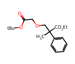 CCOC(=O)C(C)(COCC(=O)OC(C)(C)C)c1ccccc1